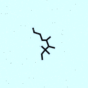 [CH2]C(C)(CC)C(C)C(C)CCCC